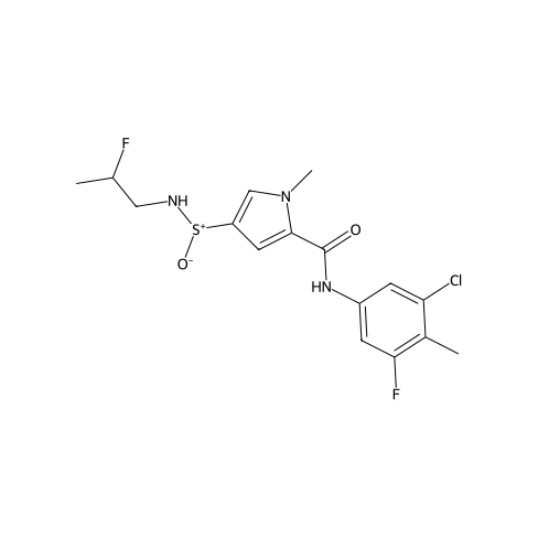 Cc1c(F)cc(NC(=O)c2cc([S+]([O-])NCC(C)F)cn2C)cc1Cl